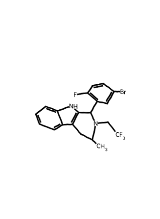 CC1Cc2c([nH]c3ccccc23)C(c2cc(Br)ccc2F)N1CC(F)(F)F